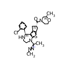 C=N/N=C(/C)N1CCN[C@@H](c2ccccc2Cl)c2c1sc1c2C[C@H](C(=O)N2CCO[C@H](C)C2)C1